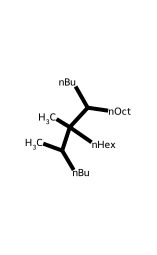 CCCCCCCC[C](CCCC)C(C)(CCCCCC)C(C)CCCC